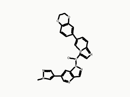 Cn1cc(-c2cnc3cnn([S+]([O-])c4cnc5ccc(-c6ccc7c(c6)OCCO7)cn45)c3c2)cn1